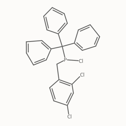 Clc1ccc(CP(Cl)C(c2ccccc2)(c2ccccc2)c2ccccc2)c(Cl)c1